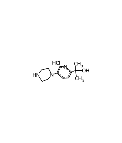 CC(C)(O)c1ccc(N2CCNCC2)cn1.Cl